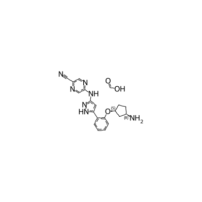 N#Cc1cnc(Nc2cc(-c3ccccc3O[C@H]3CC[C@@H](N)C3)[nH]n2)cn1.O=CO